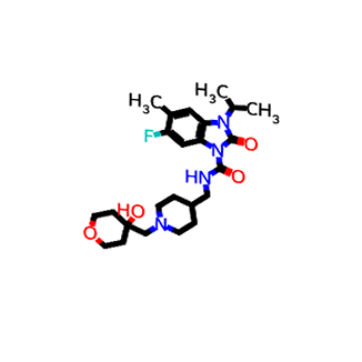 Cc1cc2c(cc1F)n(C(=O)NCC1CCN(CC3(O)CCOCC3)CC1)c(=O)n2C(C)C